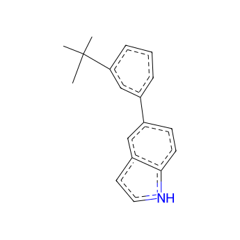 CC(C)(C)c1cccc(-c2ccc3[nH]ccc3c2)c1